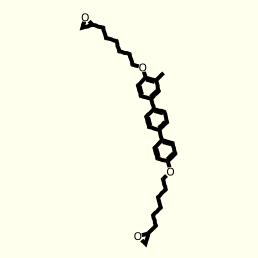 Cc1cc(-c2ccc(-c3ccc(OCCCCCCC4CO4)cc3)cc2)ccc1OCCCCCCC1CO1